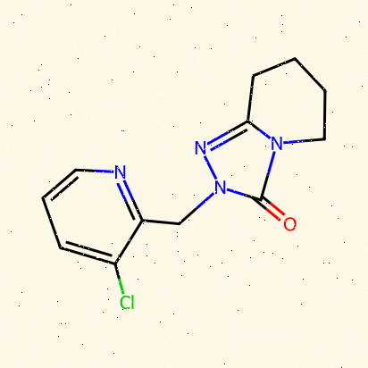 O=c1n(Cc2ncccc2Cl)nc2n1CCCC2